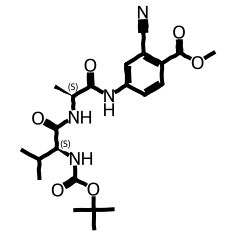 COC(=O)c1ccc(NC(=O)[C@H](C)NC(=O)[C@@H](NC(=O)OC(C)(C)C)C(C)C)cc1C#N